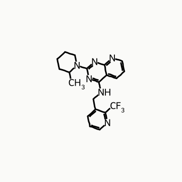 CC1CCCCN1c1nc(NCc2cccnc2C(F)(F)F)c2cccnc2n1